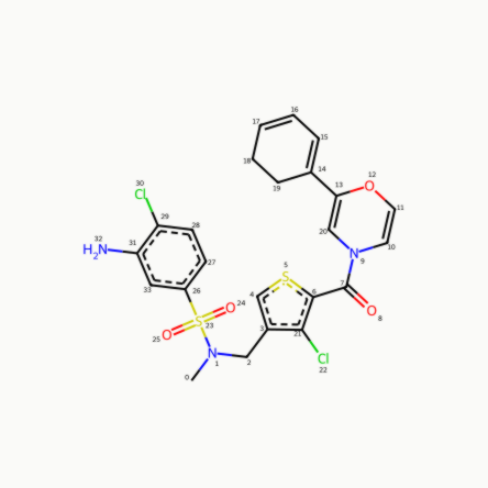 CN(Cc1csc(C(=O)N2C=COC(C3=CC=CCC3)=C2)c1Cl)S(=O)(=O)c1ccc(Cl)c(N)c1